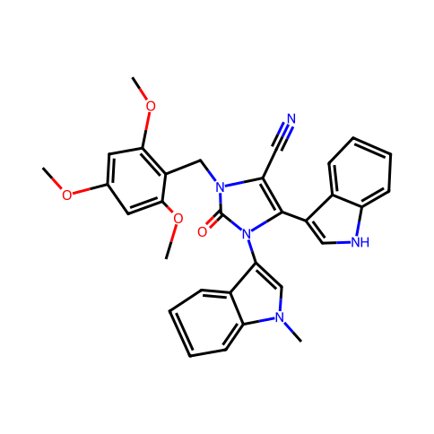 COc1cc(OC)c(Cn2c(C#N)c(-c3c[nH]c4ccccc34)n(-c3cn(C)c4ccccc34)c2=O)c(OC)c1